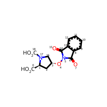 O=C(O)[C@@H]1C[C@@H](ON2C(=O)c3ccccc3C2=O)CN1C(=O)O